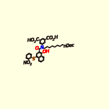 CCCCCCCCCCCCCCCCCCN(C(=O)c1cc(Sc2ccccc2[N+](=O)[O-])c2ccccc2c1O)c1cc(C(=O)O)cc(C(=O)O)c1